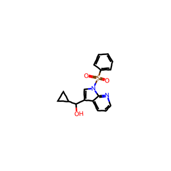 O=S(=O)(c1ccccc1)n1cc(C(O)C2CC2)c2cccnc21